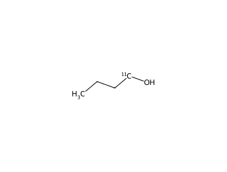 CCC[11CH2]O